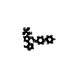 Cc1scnc1N1CC[C@H](NS(C)(=O)=O)[C@@H]1CO[C@H]1CC[C@@H](c2ccccc2)CC1